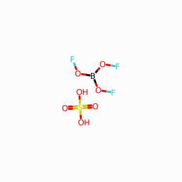 FOB(OF)OF.O=S(=O)(O)O